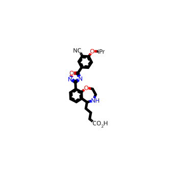 CC(C)Oc1ccc(-c2nc(-c3cccc4c3OCCNC4CCCC(=O)O)no2)cc1C#N